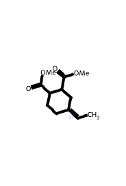 C/C=C1/CCC(C(=O)OC)C(C(=O)OC)C1